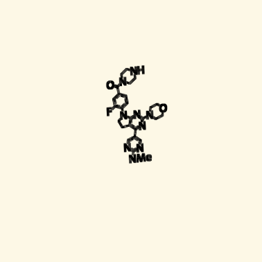 CNc1ncc(-c2nc(N3CCOCC3)nc3c2CCN3c2ccc(C(=O)N3CCNCC3)cc2F)cn1